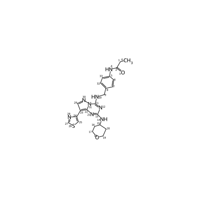 CCC(=O)Nc1ccc(CNc2nc(NC3CCOCC3)nc3c(-c4cscn4)cnn23)cc1